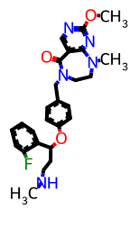 CNCCC(Oc1ccc(CN2CCN(C)c3nc(OC)ncc3C2=O)cc1)c1ccccc1F